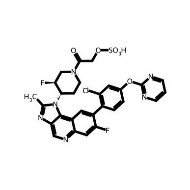 Cc1nc2cnc3cc(F)c(-c4ccc(Oc5ncccn5)cc4Cl)cc3c2n1[C@H]1CCN(C(=O)COS(=O)(=O)O)C[C@@H]1F